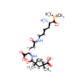 CP(C)C(=O)[C@@H](N)CCCCNC(=O)CC[C@H](NC(=O)C(C)(C)CC(C)(C)C(=O)O)C(=O)O